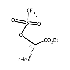 CCCCCC[C@H](OS(=O)(=O)C(F)(F)F)C(=O)OCC